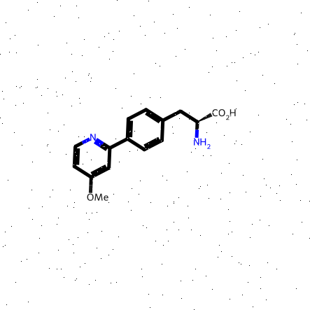 COc1ccnc(-c2ccc(C[C@H](N)C(=O)O)cc2)c1